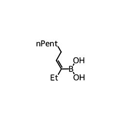 CCCCCCC=C(CC)B(O)O